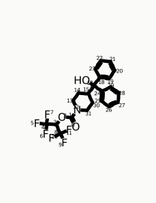 O=C(OC(C(F)(F)F)C(F)(F)F)N1CCC(C(O)(c2ccccc2)c2ccccc2)CC1